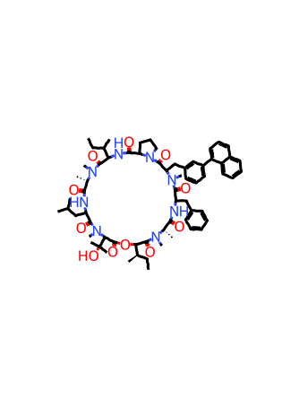 CCC(C)C1NC(=O)C2CCCN2C(=O)C(Cc2cccc(-c3cccc4ccccc34)c2)N(C)C(=O)C(Cc2ccccc2)NC(=O)[C@H](C)N(C)C(=O)C([C@H](C)CC)OC(=O)C(C(C)(C)O)N(C)C(=O)C(CC(C)C)NC(=O)[C@H](C)N(C)C1=O